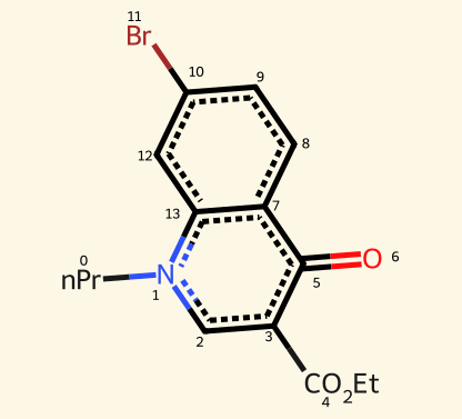 CCCn1cc(C(=O)OCC)c(=O)c2ccc(Br)cc21